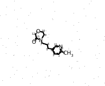 Cc1ccc(CCCN2CCOCC2=O)cn1